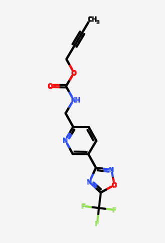 CC#CCOC(=O)NCc1ccc(-c2noc(C(F)(F)F)n2)cn1